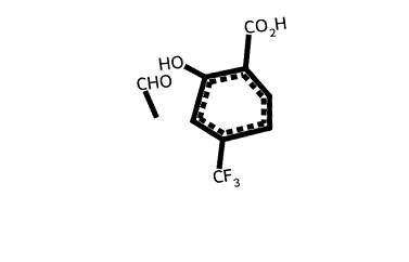 CC=O.O=C(O)c1ccc(C(F)(F)F)cc1O